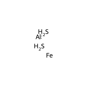 S.S.[Al].[Fe]